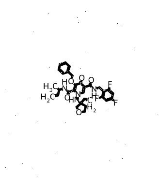 C=CC(C)NC(=O)c1c(OCc2ccccc2)c(=O)c(C(=O)NCc2c(F)cc(F)cc2F)cn1NC1(C=C)CCOC1